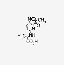 CC(Nc1ccc([N+](=O)[O-])c(S(C)(=O)=O)n1)C(=O)O